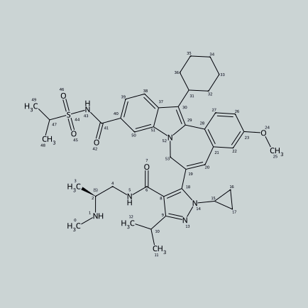 CN[C@@H](C)CNC(=O)c1c(C(C)C)nn(C2CC2)c1C1=Cc2cc(OC)ccc2-c2c(C3CCCCC3)c3ccc(C(=O)NS(=O)(=O)C(C)C)cc3n2C1